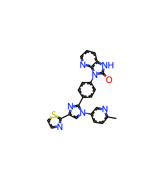 Cc1ccc(-n2cc(-c3nccs3)nc2-c2ccc(-n3c(=O)[nH]c4cccnc43)cc2)cn1